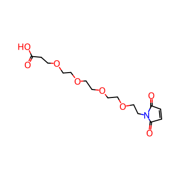 O=C(O)CCOCCOCCOCCOCCN1C(=O)C=CC1=O